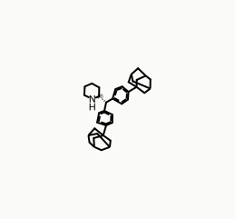 c1cc(C23CC4CC(CC(C4)C2)C3)ccc1C(c1ccc(C23CC4CC(CC(C4)C2)C3)cc1)[C@H]1CCCCN1